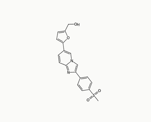 CS(=O)(=O)c1ccc(-c2cn3cc(-c4ccc(CO)o4)ccc3n2)cc1